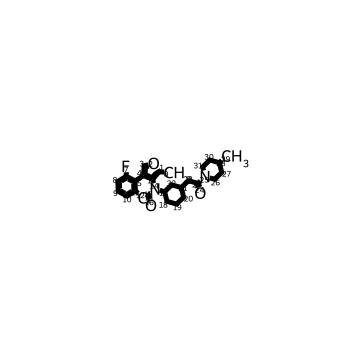 Cc1occ(-c2c(F)cccc2Cl)c1N(C=O)C1CCCC(CC(=O)N2CCC(C)CC2)C1